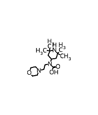 CC1(C)CC(N(CCN2CCOCC2)C(=O)O)CC(C)(C)N1